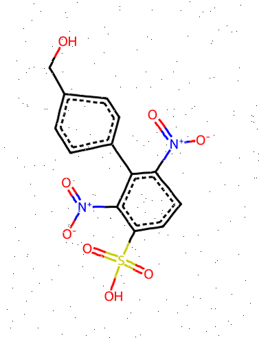 O=[N+]([O-])c1ccc(S(=O)(=O)O)c([N+](=O)[O-])c1-c1ccc(CO)cc1